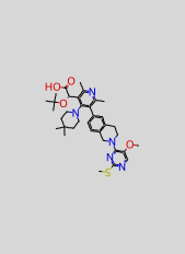 COc1cnc(SC)nc1N1CCc2cc(-c3c(C)nc(C)c([C@H](OC(C)(C)C)C(=O)O)c3N3CCC(C)(C)CC3)ccc2C1